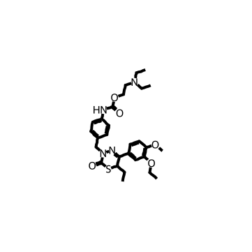 CCOc1cc(C2=NN(Cc3ccc(NC(=O)OCCN(CC)CC)cc3)C(=O)SC2CC)ccc1OC